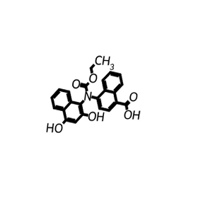 CCOC(=O)N(c1ccc(C(=O)O)c2ccccc12)c1c(O)cc(O)c2ccccc12